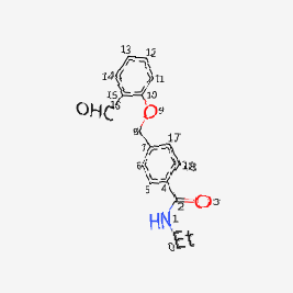 CCNC(=O)c1ccc(COc2ccccc2C=O)cc1